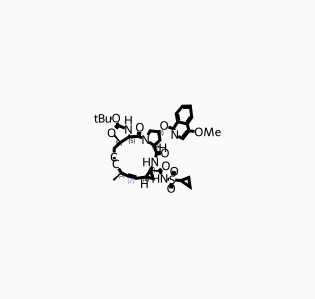 COc1cnc(O[C@@H]2C[C@H]3C(=O)N[C@]4(C(=O)NS(=O)(=O)C5CC5)C[C@H]4/C=C\[C@@H](C)CCC[C@@H](C)[C@H](NC(=O)OC(C)(C)C)C(=O)N3C2)c2ccccc12